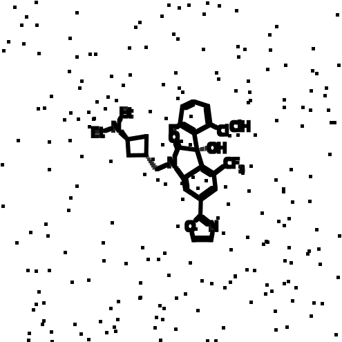 CCN(CC)[C@H]1C[C@H](CN2C(=O)[C@@](O)(c3c(F)cccc3Cl)c3c2cc(-c2ncco2)cc3C(F)(F)F)C1.Cl